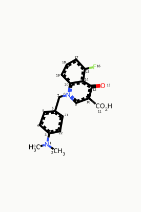 CN(C)c1ccc(Cn2cc(C(=O)O)c(=O)c3c(F)cccc32)cc1